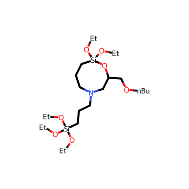 CCCCOCC1CN(CCC[Si](OCC)(OCC)OCC)CCC[Si](OCC)(OCC)O1